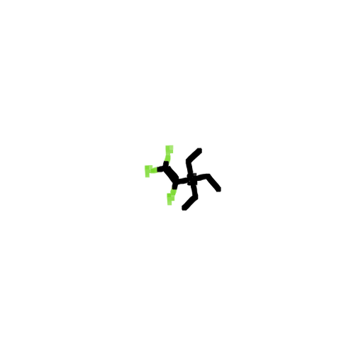 CC[Si](CC)(CC)C(F)=C(F)F